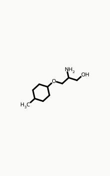 CC1CCC(OCC(N)CO)CC1